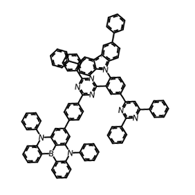 c1ccc(-c2ccc3c(c2)c2cc(-c4ccccc4)ccc2n3-c2ccc(-c3cc(-c4ccccc4)nc(-c4ccccc4)n3)cc2-c2nc(-c3ccccc3)nc(-c3ccc(-c4cc5c6c(c4)N(c4ccccc4)c4ccccc4B6c4ccccc4N5c4ccccc4)cc3)n2)cc1